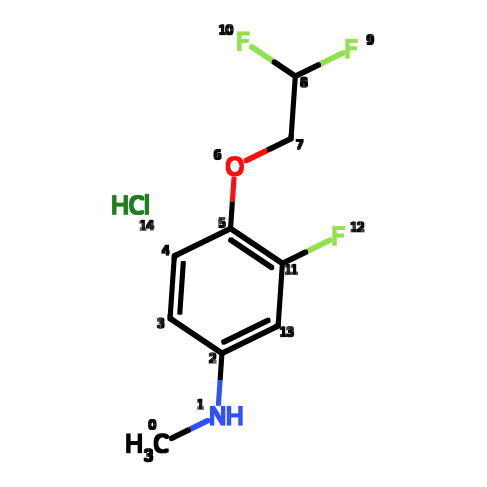 CNc1ccc(OCC(F)F)c(F)c1.Cl